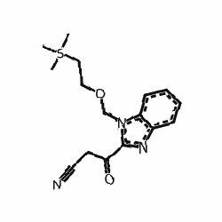 CS(C)(C)CCOCn1c(C(=O)CC#N)nc2ccccc21